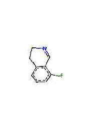 Fc1cccc2c1C=NCC2